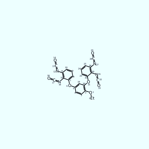 CCOc1ccc(Oc2cccc(N=C=O)c2N=C=O)cc1Oc1cccc(N=C=O)c1N=C=O